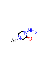 CC(=O)N1CCN(N)C(=O)C1